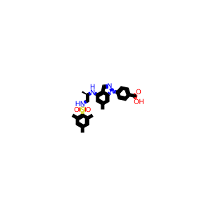 Cc1cc(C)c(S(=O)(=O)NC[C@@H](C)Nc2cc(C)cc3c2cnn3-c2ccc(C(=O)O)cc2)c(C)c1